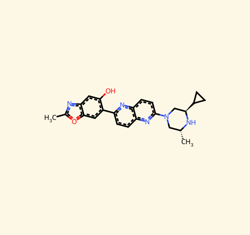 Cc1nc2cc(O)c(-c3ccc4nc(N5C[C@@H](C)N[C@H](C6CC6)C5)ccc4n3)cc2o1